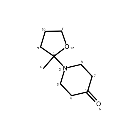 CC1(N2CCC(=O)CC2)CCCO1